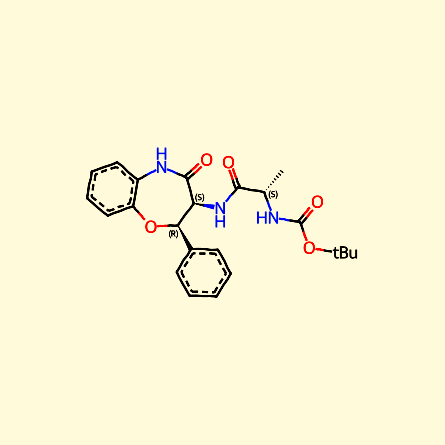 C[C@H](NC(=O)OC(C)(C)C)C(=O)N[C@@H]1C(=O)Nc2ccccc2O[C@@H]1c1ccccc1